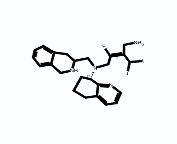 NC/C(=C(\F)CN(CC1Cc2ccccc2CN1)[C@H]1CCCc2cccnc21)C(I)I